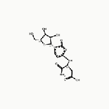 NC(=O)[C@H](CC(=O)O)Nc1ccn([C@@H]2O[C@H](CO)C(O)C2O)c(=O)n1